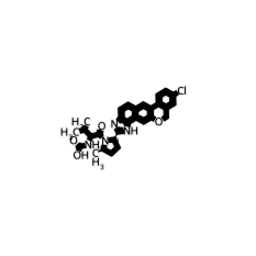 CC(C)C(NC(=O)O)C(=O)N1[C@@H](C)CC[C@H]1c1nc2ccc3cc4c(cc3c2[nH]1)OCc1cc(Cl)ccc1-4